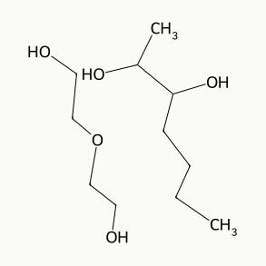 CCCCC(O)C(C)O.OCCOCCO